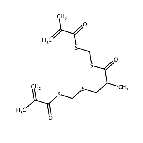 C=C(C)C(=O)SCSCC(C)C(=O)SCSC(=O)C(=C)C